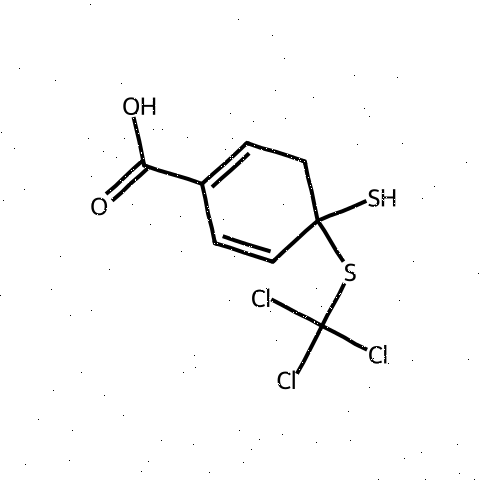 O=C(O)C1=CCC(S)(SC(Cl)(Cl)Cl)C=C1